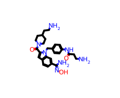 NCCC(=O)Nc1ccc(Cn2c(C(=O)N3CCC(CCN)CC3)cc3ccc(/C(N)=N/O)cc32)cc1